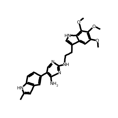 COc1cc2c(CCNc3ncc(-c4ccc5[nH]c(C)cc5c4)c(N)n3)c[nH]c2c(OC)c1OC